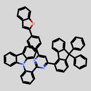 c1ccc(C2(c3ccccc3)c3ccccc3-c3c(-c4cc(-c5ccc(-c6cc7ccccc7o6)cc5)nc(-c5ccccc5-n5c6ccccc6c6ccccc65)n4)cccc32)cc1